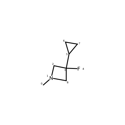 CN1CC(F)(C2CC2)C1